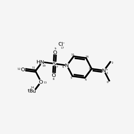 C[N+](C)=c1ccn(S(=O)(=O)NC(=O)OC(C)(C)C)cc1.[Cl-]